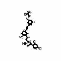 COc1ccc(C#Cc2cccc(OCC(=O)O)c2)cc1/C=C/c1nc(-c2ccc(Cl)cc2Cl)c[nH]1